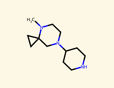 CN1CCN(C2CCNCC2)CC12CC2